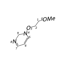 COCCON1[C]=CC=NC1